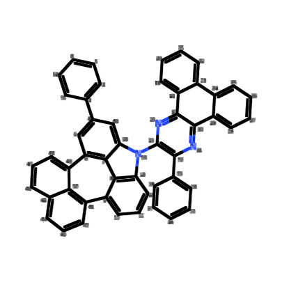 c1ccc(-c2cc3c4c5c(cccc5n(-c5nc6c7ccccc7c7ccccc7c6nc5-c5ccccc5)c4c2)-c2cccc4cccc-3c24)cc1